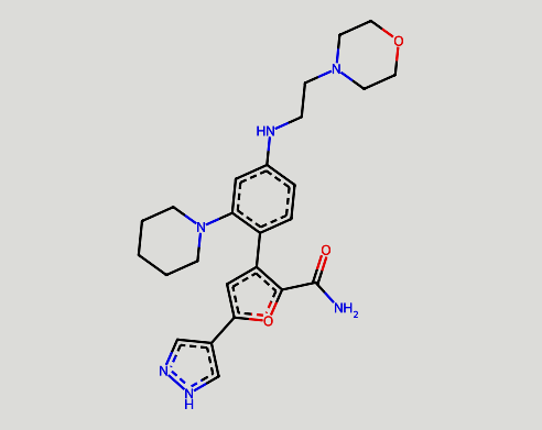 NC(=O)c1oc(-c2cn[nH]c2)cc1-c1ccc(NCCN2CCOCC2)cc1N1CCCCC1